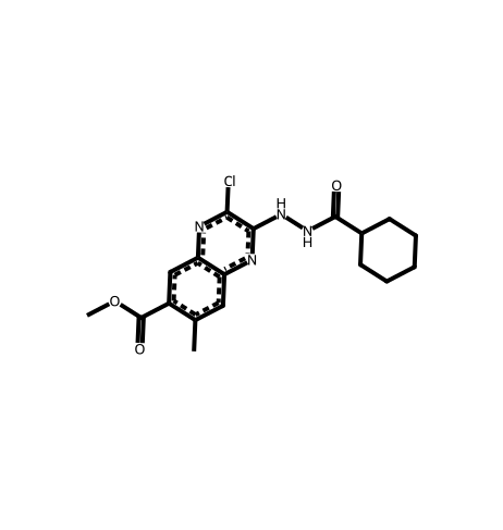 COC(=O)c1cc2nc(Cl)c(NNC(=O)C3CCCCC3)nc2cc1C